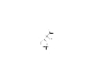 CCC(C)(C(=O)O)[C@@]1(C)COC(C)(C)O1